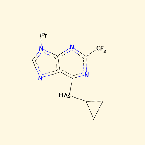 CC(C)n1cnc2c([AsH]C3CC3)nc(C(F)(F)F)nc21